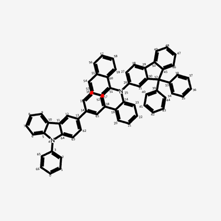 c1ccc(-n2c3ccccc3c3cc(-c4cccc(-c5ccccc5N(c5ccc6c(c5)C(c5ccccc5)(c5ccccc5)c5ccccc5-6)c5cccc6ccccc56)c4)ccc32)cc1